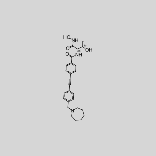 C[C@@H](O)[C@H](NC(=O)c1ccc(C#Cc2ccc(CN3CCCCCC3)cc2)cc1)C(=O)NO